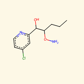 CCCC(ON)C(O)c1cc(Cl)ccn1